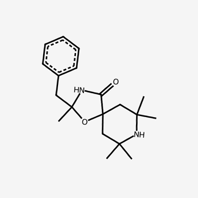 CC1(C)CC2(CC(C)(C)N1)OC(C)(Cc1ccccc1)NC2=O